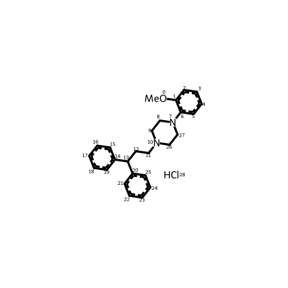 COc1ccccc1N1CCN(CCC(c2ccccc2)c2ccccc2)CC1.Cl